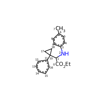 CCOC(=O)C(Nc1ccc(C)cc1)C1(c2ccccc2)CC1